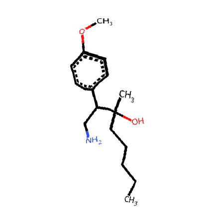 CCCCCC(C)(O)C(CN)c1ccc(OC)cc1